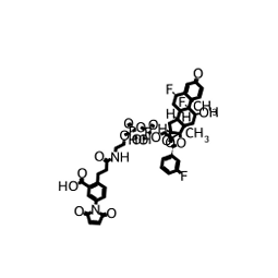 C[C@]12C=CC(=O)C=C1[C@@H](F)C[C@H]1[C@@H]3C[C@H]4O[C@@H](c5cccc(F)c5)O[C@@]4(C(=O)COP(=O)(O)OP(=O)(O)OCCNC(=O)CCc4ccc(N5C(=O)C=CC5=O)cc4C(=O)O)[C@@]3(C)C[C@H](O)[C@@]12F